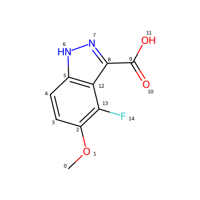 COc1ccc2[nH]nc(C(=O)O)c2c1F